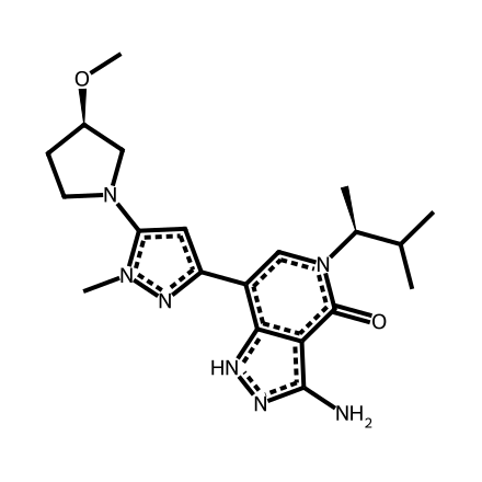 CO[C@@H]1CCN(c2cc(-c3cn([C@@H](C)C(C)C)c(=O)c4c(N)n[nH]c34)nn2C)C1